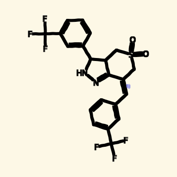 O=S1(=O)C/C(=C/c2cccc(C(F)(F)F)c2)C2=NNC(c3cccc(C(F)(F)F)c3)C2C1